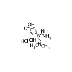 CN(C)CCN(C(=N)N)c1ccc(C(=O)O)cc1.Cl.Cl